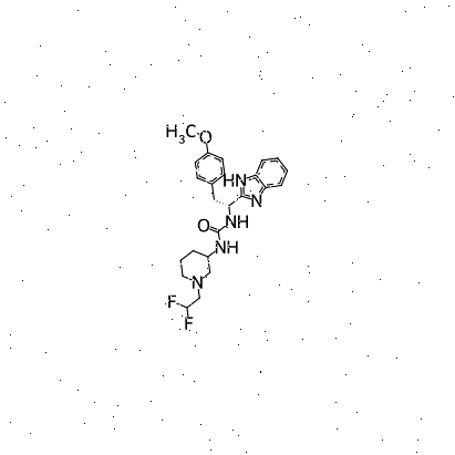 COc1ccc(C[C@@H](NC(=O)NC2CCCN(CC(F)F)C2)c2nc3ccccc3[nH]2)cc1